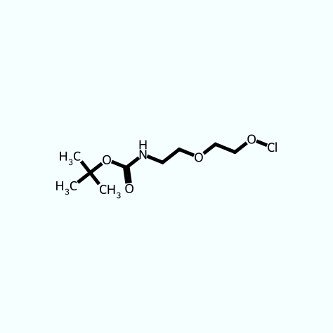 CC(C)(C)OC(=O)NCCOCCOCl